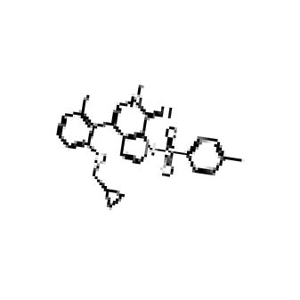 Cc1ccc(S(=O)(=O)n2ccc3c(-c4c(C)cccc4OCC4CC4)cn(C)c(=O)c32)cc1